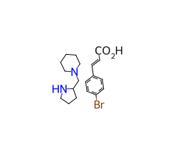 C1CCN(CC2CCCN2)CC1.O=C(O)C=Cc1ccc(Br)cc1